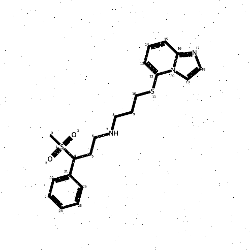 CS(=O)(=O)C(CCNCCCSc1cccc2nccn12)c1ccccc1